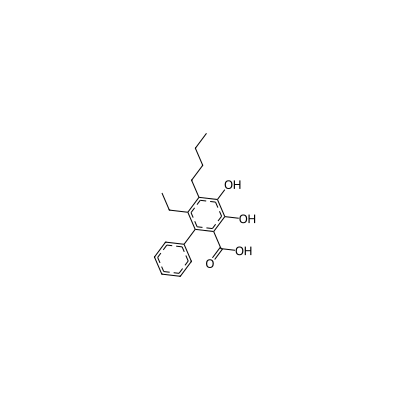 CCCCc1c(O)c(O)c(C(=O)O)c(-c2ccccc2)c1CC